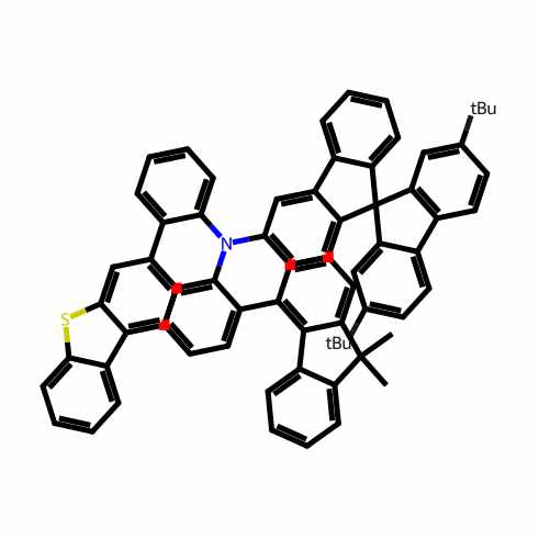 CC(C)(C)c1ccc2c(c1)C1(c3ccccc3-c3cc(N(c4ccccc4-c4ccc5c(c4)sc4ccccc45)c4ccccc4-c4cccc5c4-c4ccccc4C5(C)C)ccc31)c1cc(C(C)(C)C)ccc1-2